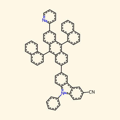 N#Cc1ccc2c(c1)c1cc(-c3ccc4c(-c5cccc6ccccc56)c5cc(-c6ccccn6)ccc5c(-c5cccc6ccccc56)c4c3)ccc1n2-c1ccccc1